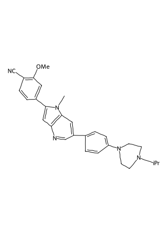 COc1cc(-c2cc3ncc(-c4ccc(N5CCN(C(C)C)CC5)cc4)cc3n2C)ccc1C#N